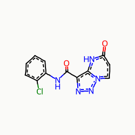 O=C(Nc1ccccc1Cl)c1nnn2ccc(=O)[nH]c12